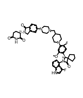 COc1cc(N2CCC(CN3CCN(c4ccc5c(c4)CN([C@H]4CCC(=O)NC4=O)C5=O)CC3)CC2)c(F)cc1[C@@H]1N(c2cccc3[nH]cc(F)c23)C(=O)C12CCCC2